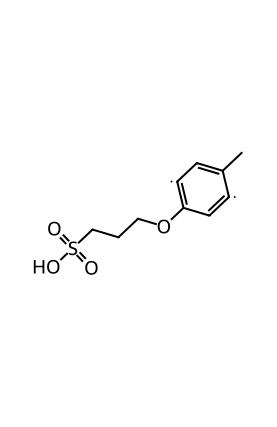 Cc1[c]cc(OCCCS(=O)(=O)O)[c]c1